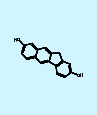 Oc1ccc2c(c1)Cc1cc3cc(O)ccc3cc1-2